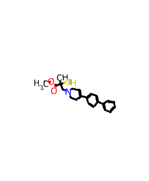 COC(=O)C(C)(S)CN1CC=C(c2ccc(-c3ccccc3)cc2)CC1